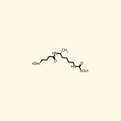 CCCCCCCCCCCCCC(=O)N[C@H](C)CCCCNC(=O)CCCCCCCC